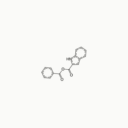 O=C(OC(=O)c1cc2ccccc2[nH]1)c1ccccc1